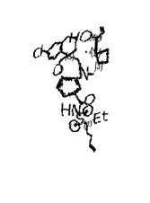 C=CCC[C@@H](CC)S(=O)(=O)NC(=O)c1ccc2c(c1)N(C[C@H]1CC[C@]1(C)[C@@H](O)C=C)C[C@@]1(CCCc3cc(Cl)ccc31)CO2